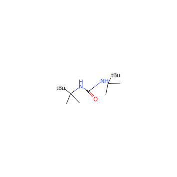 CC(C)(C)C(C)(C)NC(=O)NC(C)(C)C(C)(C)C